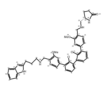 COc1nc(-c2cccc(-c3cccc(-c4cnc(CNC[C@@H]5CCC(=O)N5)c(OC)n4)c3Cl)c2Cl)cnc1CNCCCc1nc2ccccc2[nH]1